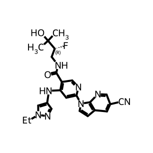 CCn1cc(Nc2cc(-n3ccc4cc(C#N)cnc43)ncc2C(=O)NC[C@@H](F)C(C)(C)O)cn1